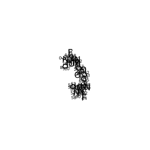 CCN(CC)[C@H](c1ccccc1)C(O)N1C[C@H](F)C[C@H]1c1ncc(-c2ccc3c(=O)c4c(ccc5cc(-c6cnc([C@@H]7C[C@@H](F)CN7C(=O)[C@@H](c7ccccc7)N(CC)CC)[nH]6)ccc54)oc3c2)[nH]1